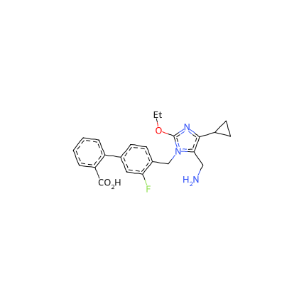 CCOc1nc(C2CC2)c(CN)n1Cc1ccc(-c2ccccc2C(=O)O)cc1F